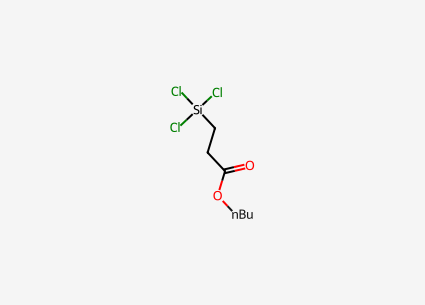 CCCCOC(=O)CC[Si](Cl)(Cl)Cl